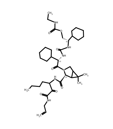 C=CCNC(=O)C(=O)C(CCCC)NC(=O)[C@@H]1C2C(CN1C(=O)[C@@H](NC(=O)N[C@H](COC(=O)NCC)C1CCCCC1)C1CCCCC1)C2(C)C